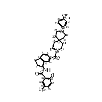 O=C(NC1CCc2ccc(C(=O)N3CCC4(CC3)CCN(c3ccc(C(F)(F)F)cc3)CC4)cc21)c1cc(Cl)ccc1Cl